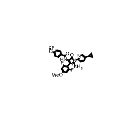 COc1cc(F)c(-c2c(NC(=O)c3ccc(OC(F)(F)F)cc3)c(=O)n(-c3ccc(C4CC4)cn3)n2C)c(F)c1